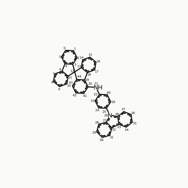 c1ccc2c(c1)-c1ccccc1C21c2ccccc2-c2c(Nc3ccc(-n4c5ccccc5c5ccccc54)cc3)cccc21